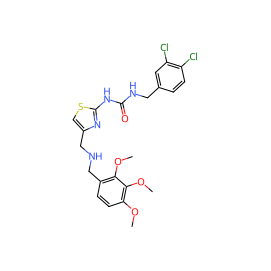 COc1ccc(CNCc2csc(NC(=O)NCc3ccc(Cl)c(Cl)c3)n2)c(OC)c1OC